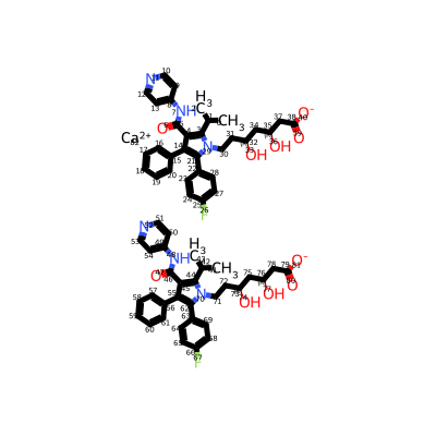 CC(C)c1c(C(=O)Nc2ccncc2)c(-c2ccccc2)c(-c2ccc(F)cc2)n1CC[C@@H](O)C[C@@H](O)CC(=O)[O-].CC(C)c1c(C(=O)Nc2ccncc2)c(-c2ccccc2)c(-c2ccc(F)cc2)n1CC[C@@H](O)C[C@@H](O)CC(=O)[O-].[Ca+2]